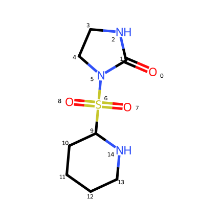 O=C1NCCN1S(=O)(=O)C1CCCCN1